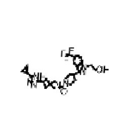 O=C(N1CCC(c2nn(CCO)c3ccc(C(F)(F)F)cc23)CC1)N1CC2(CC(c3nnc(C4CC4)[nH]3)C2)C1